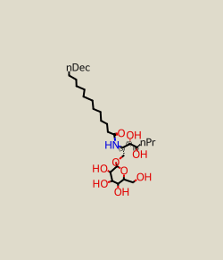 CCCCCCCCCCCCCCCCCCCCCC(=O)N[C@@H](COC1OC(CO)C(O)C(O)C1O)[C@H](O)[C@H](O)CCC